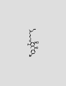 C=CCN(C)CC=CCOc1ccc(C(=O)c2ccc(Br)cc2)c(C)c1F.Cl